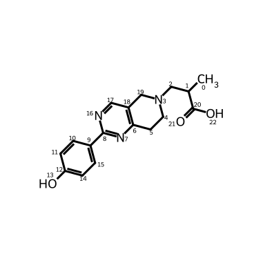 CC(CN1CCc2nc(-c3ccc(O)cc3)ncc2C1)C(=O)O